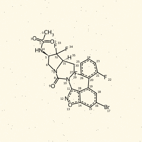 CS(=O)(=O)N[C@@H]1CN2C(=O)N(c3noc4cc(Br)cc(-c5c(F)cccc5F)c34)CC[C@@H]2C1(F)F